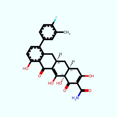 Cc1cc(-c2ccc(O)c3c2C[C@H]2C[C@H]4CC(O)=C(C(N)=O)C(=O)[C@@]4(O)C(O)=C2C3=O)ccc1F